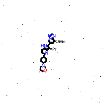 COc1cc(-c2[nH]c3ccc(C4CCC(N5CCCOC5)CC4)nc3c2C(C)C)cn2ncnc12